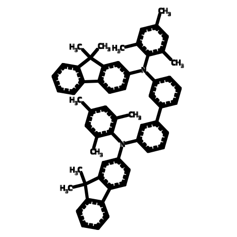 Cc1cc(C)c(N(c2cccc(-c3cccc(N(c4ccc5c(c4)C(C)(C)c4ccccc4-5)c4c(C)cc(C)cc4C)c3)c2)c2ccc3c(c2)C(C)(C)c2ccccc2-3)c(C)c1